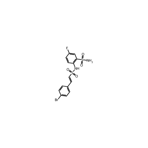 NS(=O)(=O)c1cc(F)ccc1NS(=O)(=O)C=Cc1ccc(Br)cc1